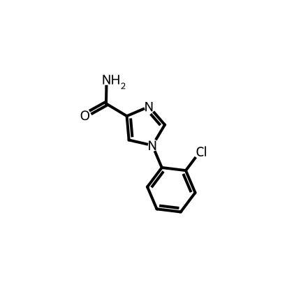 NC(=O)c1cn(-c2ccccc2Cl)cn1